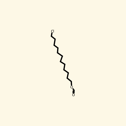 O=COCCCCCCCCCCCCCl